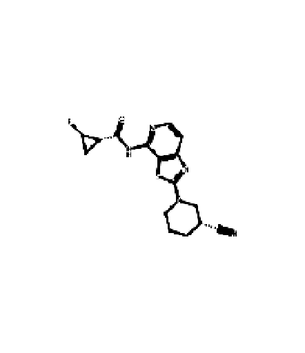 N#C[C@@H]1CCCN(c2nc3ccnc(NC(=O)[C@@H]4C[C@H]4F)c3s2)C1